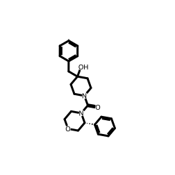 O=C(N1CCC(O)(Cc2cc[c]cc2)CC1)N1CCOC[C@H]1c1ccccc1